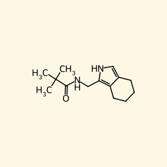 CC(C)(C)C(=O)NCc1[nH]cc2c1CCCC2